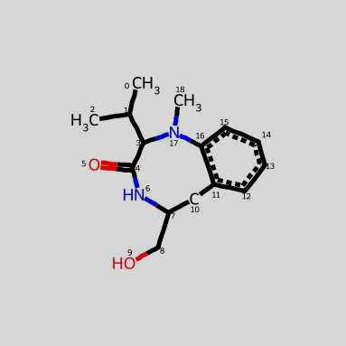 CC(C)C1C(=O)NC(CO)Cc2ccccc2N1C